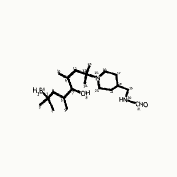 BC(C)(C)CC(C)C(O)C(C)CC(C)(C)N1CCC(CNC=O)CC1